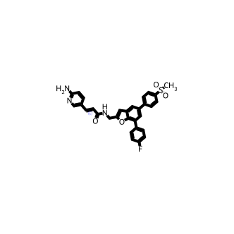 CS(=O)(=O)c1ccc(-c2cc(-c3ccc(F)cc3)c3oc(CNC(=O)/C=C/c4ccc(N)nc4)cc3c2)cc1